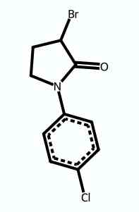 O=C1C(Br)CCN1c1ccc(Cl)cc1